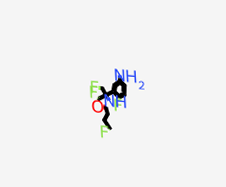 Nc1ccc(F)c(C(CF)(CF)NC(=O)CCCF)c1